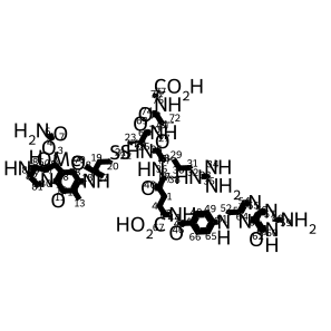 CO[C@@]12[C@H](COC(N)=O)C3=C(C(=O)C(C)=C(NC(C)(C)CCSSC[C@H](NC(=O)[C@H](CCCNC(=N)N)N[C@H](C)C(=O)CC[C@H](NC(=O)c4ccc(NCc5cnc6nc(N)[nH]c(=O)c6n5)cc4)C(=O)O)C(=O)N[C@@H](C)C(=O)NCC(=O)O)C3=O)N1CC1N[C@@H]12